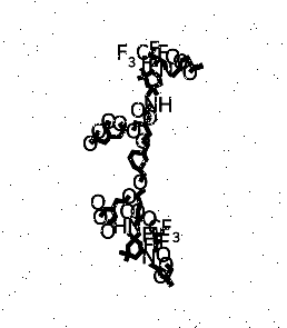 C=C1COC(CN(C(=O)C(F)(F)C(F)(F)C(F)(F)F)C2CC(C)(C)CC(C)(CNC(=O)OC(COCC3CCCC(COCC(COC(=O)NCC4(C)C[C@@H](N(CC5OCC(=C)O5)C(=O)C(F)(F)C(F)(F)C(F)(F)F)CC(C)(C)C4)OC(=O)CC4CC(=O)OC4=O)C3)COC(=O)CC3CC(=O)OC3=O)C2)O1